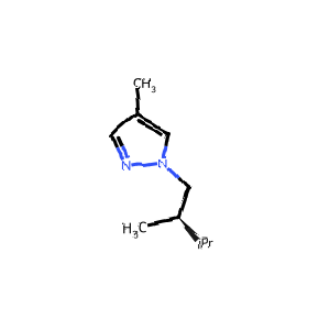 Cc1cnn(C[C@H](C)C(C)C)c1